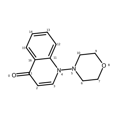 O=c1ccn(N2CCOCC2)c2ccccc12